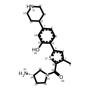 Cc1cc(-c2ccc(C3CCNCC3)cc2O)sc1C(=O)N1CC[C@H](N)C1